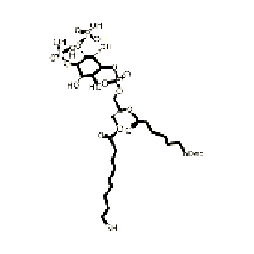 CCCCCCCCCCCCCCCC(=O)O[C@H](COC(=O)CCCCCCCCS)COP(=O)(O)OC1C(O)[C@H](O)C(OP(=O)(O)O)[C@H](OP(=O)(O)O)[C@@H]1O